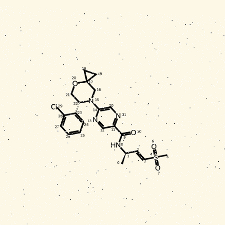 C[C@H](/C=C/S(C)(=O)=O)NC(=O)c1cnc(N2CC3(CC3)OC[C@H]2c2ccccc2Cl)cn1